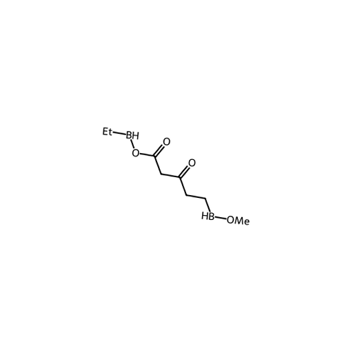 CCBOC(=O)CC(=O)CCBOC